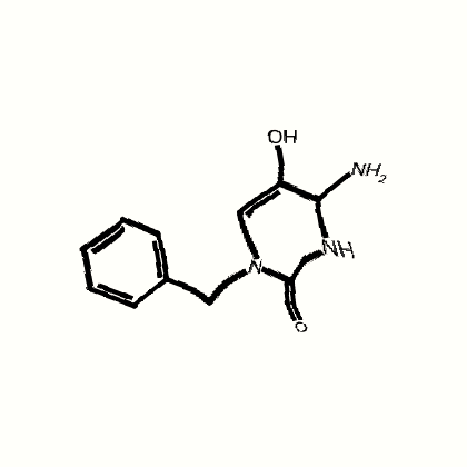 NC1NC(=O)N(Cc2ccccc2)C=C1O